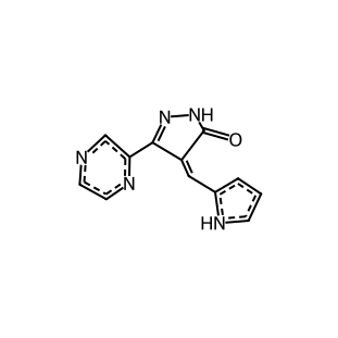 O=C1NN=C(c2cnccn2)C1=Cc1ccc[nH]1